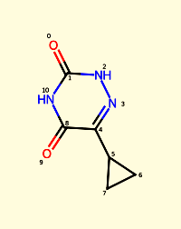 O=c1[nH]nc(C2CC2)c(=O)[nH]1